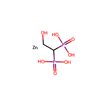 O=P(O)(O)C(CO)P(=O)(O)O.[Zn]